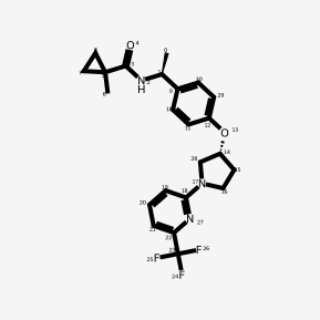 C[C@H](NC(=O)C1(C)CC1)c1ccc(O[C@@H]2CCN(c3cccc(C(F)(F)F)n3)C2)cc1